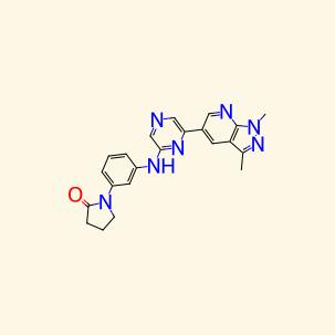 Cc1nn(C)c2ncc(-c3cncc(Nc4cccc(N5CCCC5=O)c4)n3)cc12